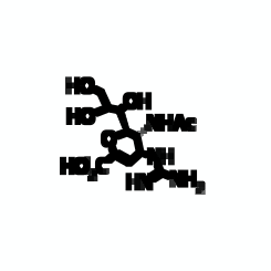 CC(=O)N[C@@H]1[C@@H](NC(=N)N)C=C(C(=O)O)O[C@H]1C(O)C(O)CO.Cl